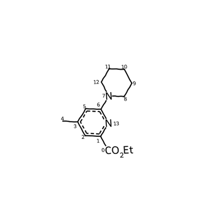 CCOC(=O)c1cc(C)cc(N2CCCCC2)n1